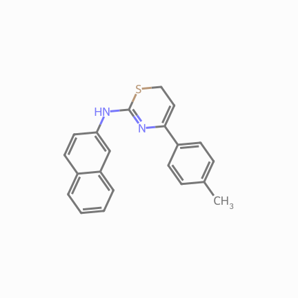 Cc1ccc(C2=CCSC(Nc3ccc4ccccc4c3)=N2)cc1